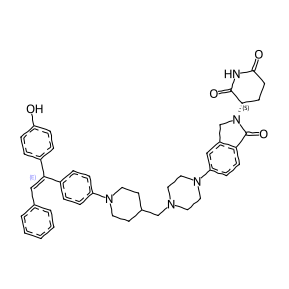 O=C1CC[C@H](N2Cc3cc(N4CCN(CC5CCN(c6ccc(/C(=C\c7ccccc7)c7ccc(O)cc7)cc6)CC5)CC4)ccc3C2=O)C(=O)N1